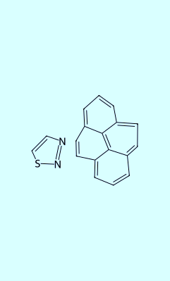 c1cc2ccc3cccc4ccc(c1)c2c34.c1csnn1